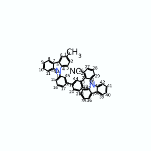 Cc1ccc2c(c1)c1ccccc1n2-c1cccc(-c2cccc(-c3c(C#N)cccc3-n3c4ccccc4c4ccccc43)c2)c1